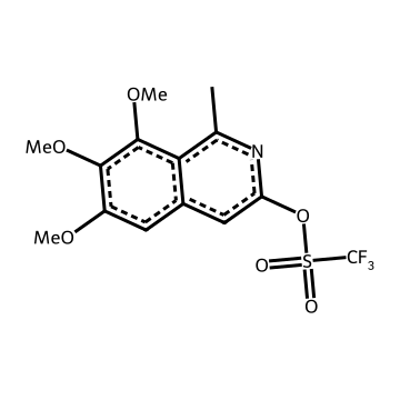 COc1cc2cc(OS(=O)(=O)C(F)(F)F)nc(C)c2c(OC)c1OC